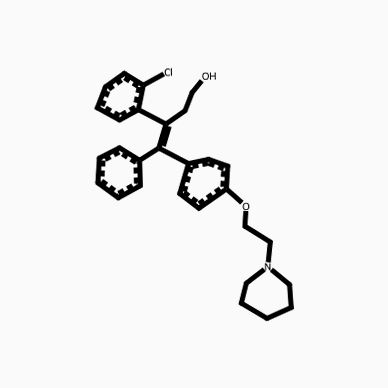 OCCC(=C(c1ccccc1)c1ccc(OCCN2CCCCC2)cc1)c1ccccc1Cl